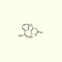 CC(=CCO)C[N+](=O)[O-].O=C(O)c1ccccc1